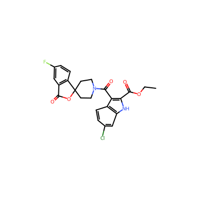 CCOC(=O)c1[nH]c2cc(Cl)ccc2c1C(=O)N1CCC2(CC1)OC(=O)c1cc(F)ccc12